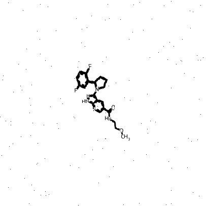 COCCNC(=O)c1cnc2[nH]nc(N3CCCC3c3cc(F)ccc3F)c2c1